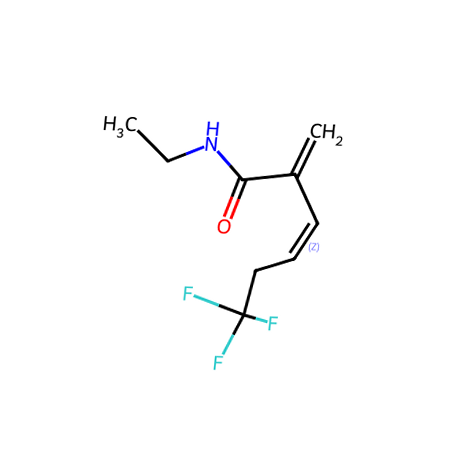 C=C(/C=C\CC(F)(F)F)C(=O)NCC